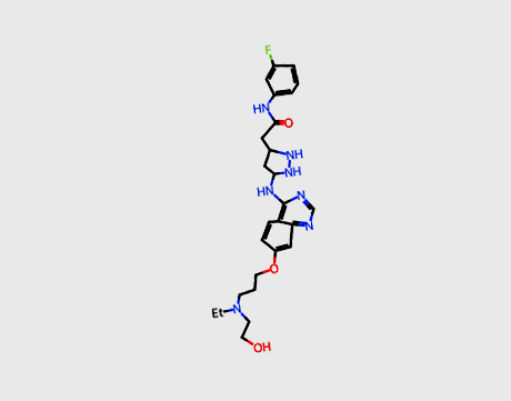 CCN(CCO)CCCOc1ccc2c(NC3CC(CC(=O)Nc4cccc(F)c4)NN3)ncnc2c1